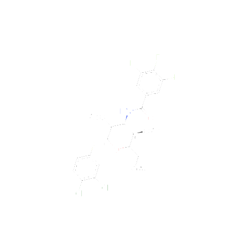 CC(=O)OCC1O[C@H](Sc2ccc(Cl)c(Cl)c2)C(OC(C)=O)[C@@H](NC(=O)c2cc(F)c(F)c(F)c2)[C@H]1OC(C)=O